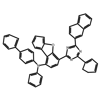 C1=CCCC(c2nc(-c3ccc4ccccc4c3)nc(-c3ccc(N(c4ccccc4)c4ccc(-c5ccccc5)cc4)c4c3oc3ccccc34)n2)=C1